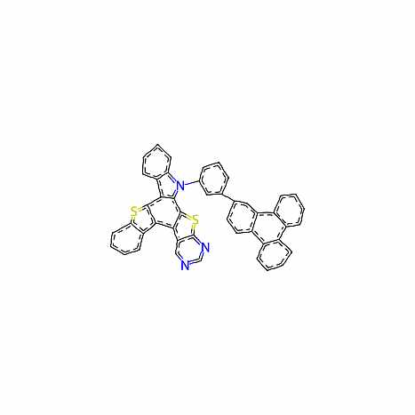 c1cc(-c2ccc3c4ccccc4c4ccccc4c3c2)cc(-n2c3ccccc3c3c4sc5ccccc5c4c4c5cncnc5sc4c32)c1